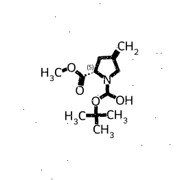 C=C1C[C@@H](C(=O)OC)N(C(O)OC(C)(C)C)C1